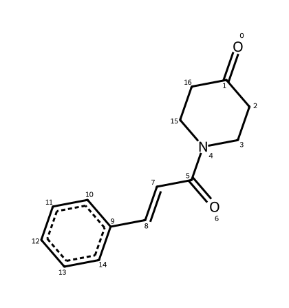 O=C1CCN(C(=O)/C=C/c2ccccc2)CC1